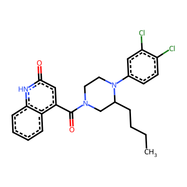 CCCCC1CN(C(=O)c2cc(=O)[nH]c3ccccc23)CCN1c1ccc(Cl)c(Cl)c1